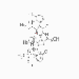 CSc1nc2c(F)c(-c3cccc(Cl)c3Cl)c(CCC#N)cc2c2c1cc(C1CCc3cccc(=O)n31)n2[C@H]1[C@@H]2C[C@H]1N(C(=O)OC(C)(C)C)C2